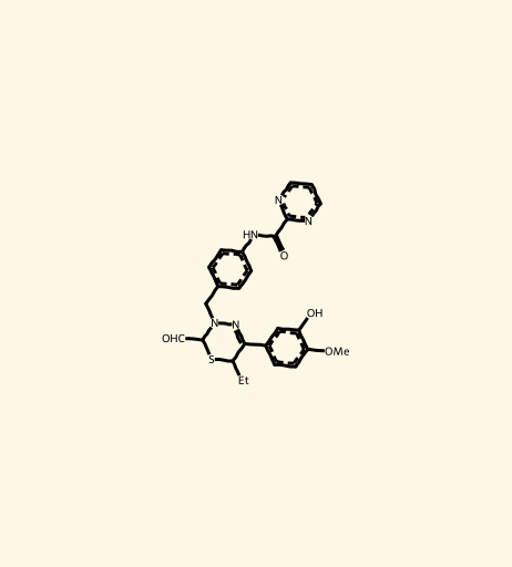 CCC1SC(C=O)N(Cc2ccc(NC(=O)c3ncccn3)cc2)N=C1c1ccc(OC)c(O)c1